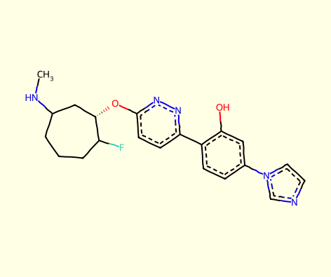 CNC1CCCC(F)[C@@H](Oc2ccc(-c3ccc(-n4ccnc4)cc3O)nn2)C1